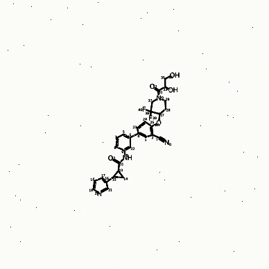 N#Cc1cc(-c2cccc(NC(=O)C3CC3c3cccnc3)c2)ccc1OC1CCN(C(=O)C(O)CO)CC1(F)F